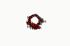 C[C@H]1NC(=O)[C@H](CCC(=O)O)NC(=O)CCSCc2cccc(c2)CSCCNC(=O)[C@]2(C)CCCN2C(=O)[C@H](Cc2ccccc2)NC(=O)[C@H](Cc2cnc[nH]2)NC(=O)[C@H](CC(=O)O)NC(=O)[C@H](CC2(C3CCCCCCCC3)CNc3ccc(F)cc32)NC(=O)[C@H](Cc2c[nH]c3ccc(F)cc23)NC1=O